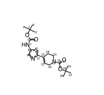 CC(C)(C)OC(=O)Nc1cnc(C2=CCN(C(=O)OC(C)(C)C)CC2)s1